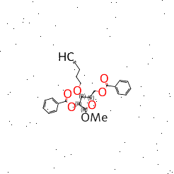 C#CCCCO[C@H]1[C@@H](OC(=O)c2ccccc2)[C@H](OC)O[C@@H]1COC(=O)c1ccccc1